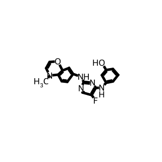 CN1C=COc2cc(Nc3ncc(F)c(Nc4cccc(O)c4)n3)ccc21